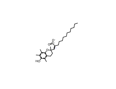 CCCCCCCCCCC/C(=C/C1(C)CCc2c(C)c(O)c(C)c(C)c2O1)[N+](=O)[O-]